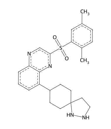 Cc1ccc(C)c(S(=O)(=O)c2cnc3cccc(C4CCC5(CCNN5)CC4)c3n2)c1